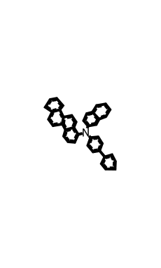 c1ccc(-c2ccc(N(c3ccc4ccccc4c3)c3cccc4c3ccc3c5ccccc5ccc43)cc2)cc1